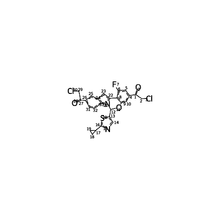 O=C(CCl)c1cc(F)c2c(c1)OC(c1cnc(C3CC3)s1)n1c-2cc2cc(C(=O)CCl)ccc21